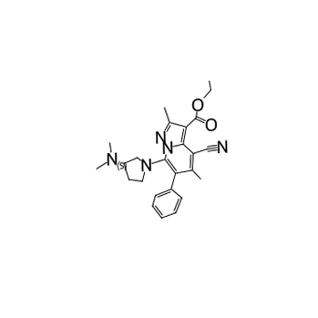 CCOC(=O)c1c(C)nn2c(N3CC[C@H](N(C)C)C3)c(-c3ccccc3)c(C)c(C#N)c12